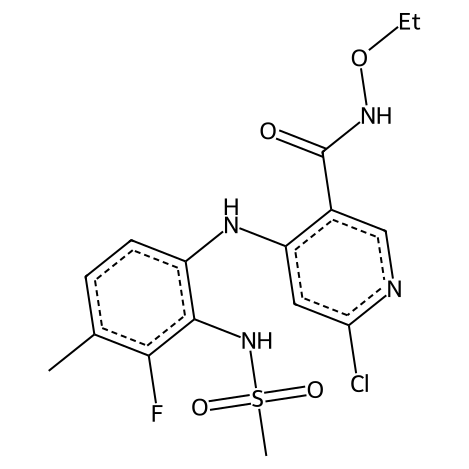 CCONC(=O)c1cnc(Cl)cc1Nc1ccc(C)c(F)c1NS(C)(=O)=O